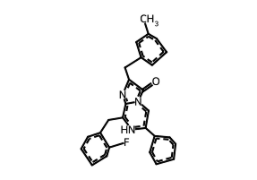 Cc1cccc(Cc2nc3c(Cc4ccccc4F)[nH]c(-c4ccccc4)cn-3c2=O)c1